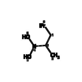 CC(C)CC(C)N(O)O